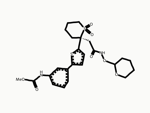 COC(=O)Nc1cccc(-c2ccc([C@@]3(CC(=O)NOC4CCCCO4)CCCCS3(=O)=O)s2)c1